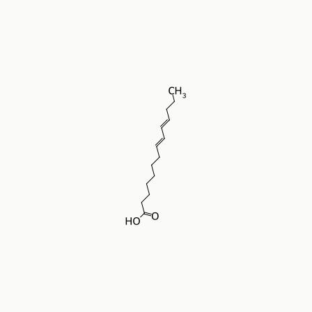 CCCC=CC=CCCCCCCC(=O)O